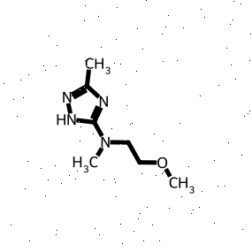 COCCN(C)c1nc(C)n[nH]1